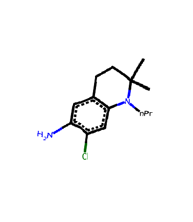 [CH2]CCN1c2cc(Cl)c(N)cc2CCC1(C)C